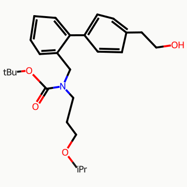 CC(C)OCCCN(Cc1ccccc1-c1ccc(CCO)cc1)C(=O)OC(C)(C)C